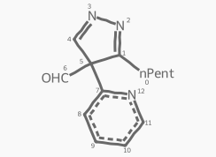 CCCCCC1=NN=CC1(C=O)c1ccccn1